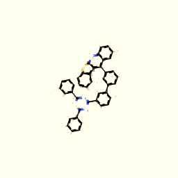 c1ccc(-c2nc(-c3ccccc3)nc(-c3cccc(-c4cccc(-c5c6ccccc6nc6sc7ccccc7c56)c4)c3)n2)cc1